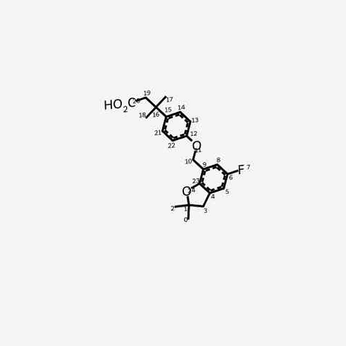 CC1(C)Cc2cc(F)cc(COc3ccc(C(C)(C)CC(=O)O)cc3)c2O1